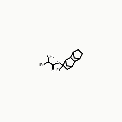 CCC1(OC(=O)C(C)C(C)C)CC2CC1C1C3CCC(C3)C21